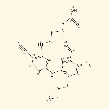 CCc1cc(CCCN)c(Nc2cc(NCCSCC(=O)O)c(C#N)cn2)nc1C=O